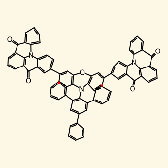 O=c1c2ccccc2n2c3ccc(-c4ccc5c(c4)Oc4cc(-c6ccc7c(c6)c(=O)c6cccc8c(=O)c9ccccc9n7c86)ccc4N5c4c(-c5ccccc5)cc(-c5ccccc5)cc4-c4ccccc4)cc3c(=O)c3cccc1c32